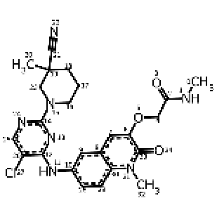 CNC(=O)COc1cc2cc(Nc3nc(N4CCCC(C)(C#N)C4)ncc3Cl)ccc2n(C)c1=O